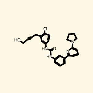 O=C(Nc1cccc(-c2cccc(N3CCCC3)n2)c1)Nc1ccc(Cl)c(CC#CCO)c1